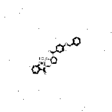 O=C(O)[C@@H]1[C@@H](Cn2nnc3ccccc3c2=O)CC[C@H]1C(=O)c1ccc(OCc2ccccc2)cc1